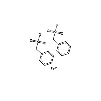 O=S(=O)([O-])Cc1ccccc1.O=S(=O)([O-])Cc1ccccc1.[Fe+2]